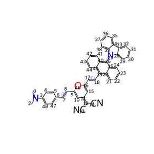 CN(C)c1ccc(/C=C/C2=CC(=C(C#N)C#N)C=C(/C=C/c3c4ccccc4c(-n4c5ccccc5c5ccccc54)c4ccccc34)O2)cc1